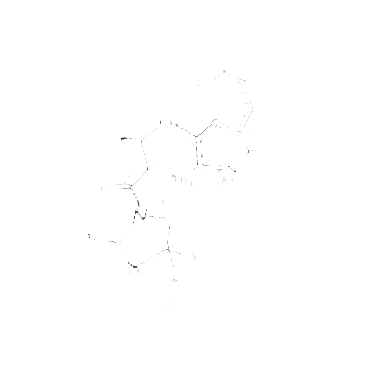 C[C@@H](Oc1c[nH]c(=O)c2ccccc12)[C@H](N)C(=O)N1CC(F)(F)CC1C#N